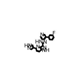 Fc1cccc(-c2cncc3[nH]c(-c4n[nH]c5ccc(-c6cn[nH]c6)nc45)nc23)c1